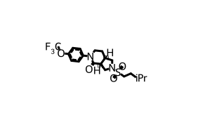 CC(C)CCS(=O)(=O)N1C[C@@H]2CCN(c3ccc(OC(F)(F)F)cc3)C(=O)[C@@H]2C1